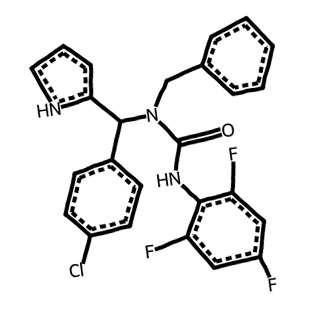 O=C(Nc1c(F)cc(F)cc1F)N(Cc1ccccc1)C(c1ccc(Cl)cc1)c1ccc[nH]1